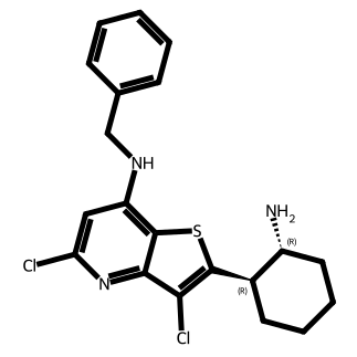 N[C@@H]1CCCC[C@H]1c1sc2c(NCc3ccccc3)cc(Cl)nc2c1Cl